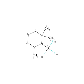 CC1[CH]CCC(C)(C)C1C(F)(F)F